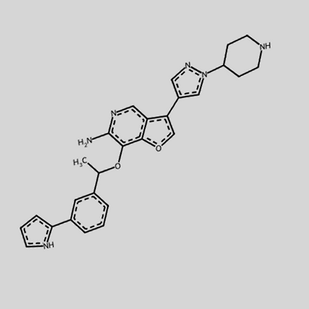 CC(Oc1c(N)ncc2c(-c3cnn(C4CCNCC4)c3)coc12)c1cccc(-c2ccc[nH]2)c1